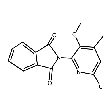 COc1c(C)cc(Cl)nc1N1C(=O)c2ccccc2C1=O